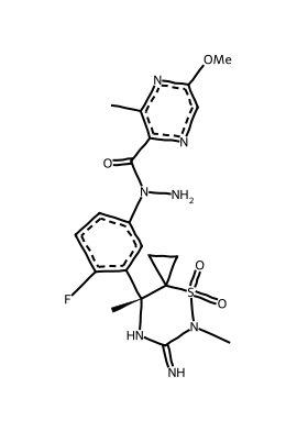 COc1cnc(C(=O)N(N)c2ccc(F)c([C@@]3(C)NC(=N)N(C)S(=O)(=O)C34CC4)c2)c(C)n1